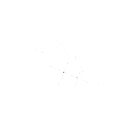 BP(=O)(BC(C)(C)P(B)(=O)SC)SC